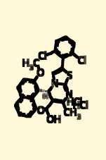 COc1ccc2ccccc2c1[C@H]1C(C(=O)O)=C(C)N=C2SC(c3c(Cl)cccc3Cl)=CN21.Cl.Cl